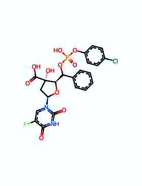 O=C(O)[C@]1(O)C[C@H](n2cc(F)c(=O)[nH]c2=O)O[C@@H]1C(OP(=O)(O)Oc1ccc(Cl)cc1)c1ccccc1